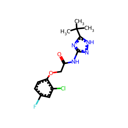 CC(C)(C)c1nc(NC(=O)COc2ccc(F)cc2Cl)n[nH]1